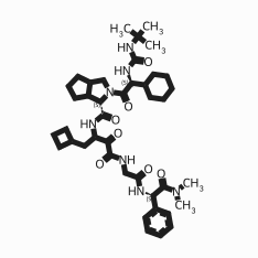 CN(C)C(=O)[C@@H](NC(=O)CNC(=O)C(=O)C(CC1CCC1)NC(=O)[C@@H]1C2CCCC2CN1C(=O)[C@@H](NC(=O)NC(C)(C)C)C1CCCCC1)c1ccccc1